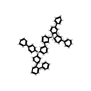 c1ccc(-c2ccc(N(c3ccc(-c4ccccc4-c4ccccc4)cc3)c3cccc(-c4cccc(-n5c6ccc(-c7ccccc7)cc6c6cc(-c7ccccc7)ccc65)c4)c3)cc2)cc1